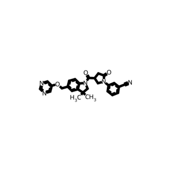 CC1(C)CN(C(=O)C2CC(=O)N(c3cccc(C#N)c3)C2)c2ccc(COc3cncnc3)cc21